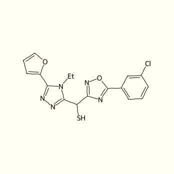 CCn1c(-c2ccco2)nnc1C(S)c1noc(-c2cccc(Cl)c2)n1